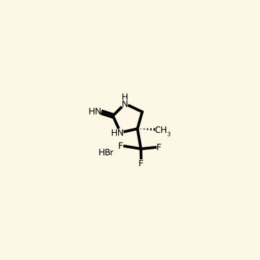 Br.C[C@@]1(C(F)(F)F)CNC(=N)N1